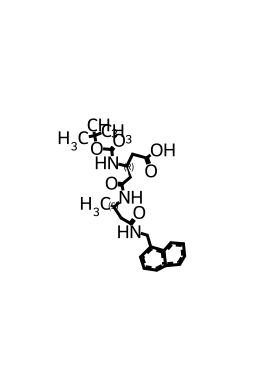 C[C@@H](CC(=O)NCc1cccc2ccccc12)NC(=O)C[C@H](CC(=O)O)NC(=O)OC(C)(C)C